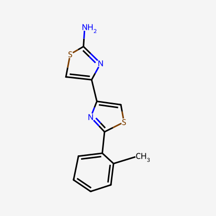 Cc1ccccc1-c1nc(-c2csc(N)n2)cs1